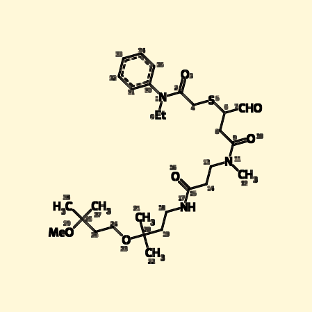 CCN(C(=O)CSC(C=O)CC(=O)N(C)CCC(=O)NCCC(C)(C)OCCC(C)(C)OC)c1ccccc1